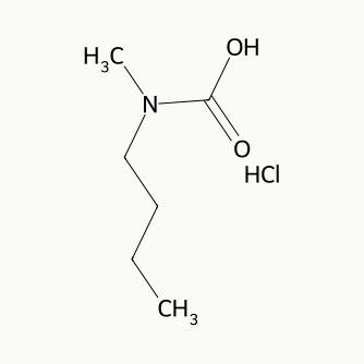 CCCCN(C)C(=O)O.Cl